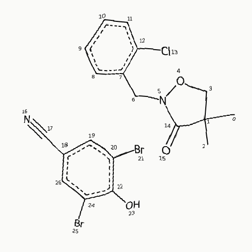 CC1(C)CON(Cc2ccccc2Cl)C1=O.N#Cc1cc(Br)c(O)c(Br)c1